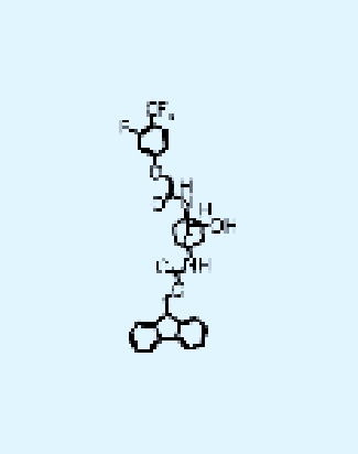 O=C(COc1ccc(C(F)(F)F)c(F)c1)NC12CCC(NC(=O)OCC3c4ccccc4-c4ccccc43)(CC1)C[C@@H]2O